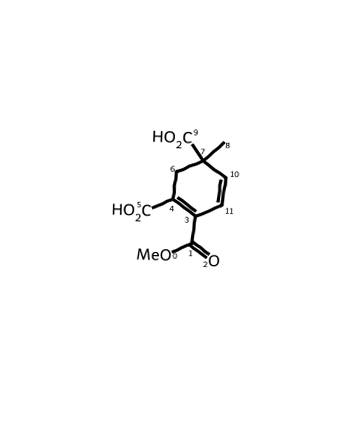 COC(=O)C1=C(C(=O)O)CC(C)(C(=O)O)C=C1